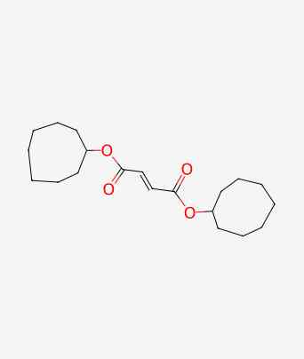 O=C(C=CC(=O)OC1CCCCCCC1)OC1CCCCCCC1